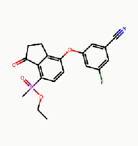 CCOP(C)(=O)c1ccc(Oc2cc(F)cc(C#N)c2)c2c1C(=O)CC2